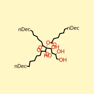 CCCCCCCCCCCCCCCC(=O)O[C@@](C(=O)CCCCCCCCCCCCCCC)(C(=O)C(=O)CCCCCCCCCCCCCCC)[C@@H](O)[C@H](O)[C@H](O)CO